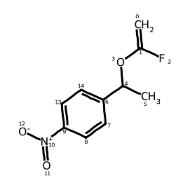 C=C(F)OC(C)c1ccc([N+](=O)[O-])cc1